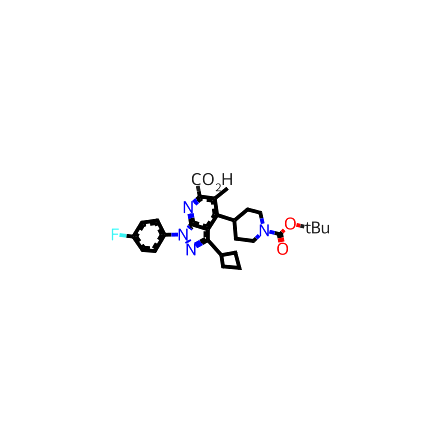 Cc1c(C(=O)O)nc2c(c(C3CCC3)nn2-c2ccc(F)cc2)c1C1CCN(C(=O)OC(C)(C)C)CC1